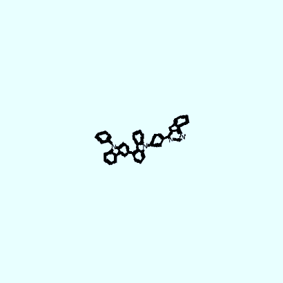 c1ccc(-n2c3ccccc3c3cc(-c4cccc5c4c4ccccc4n5-c4ccc(-c5ncnc6c5Cc5ccccc5-6)cc4)ccc32)cc1